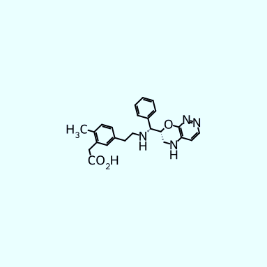 Cc1ccc(CCN[C@H](c2ccccc2)[C@H]2CNc3ccnnc3O2)cc1CC(=O)O